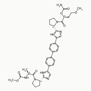 COCC[C@H](OC(N)=O)C(=O)N1CCC[C@H]1c1ncc(-c2ccc(-c3ccc(-c4cnc([C@@H]5CCCN5C(=O)[C@H](C)NC(=O)OC)[nH]4)cc3)cc2)[nH]1